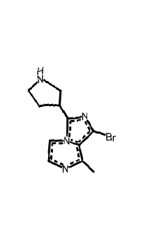 Cc1nccn2c(C3CCNC3)nc(Br)c12